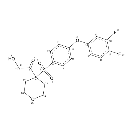 O=C(NO)C1(S(=O)(=O)c2ccc(Oc3ccc(F)c(F)c3)cc2)CCOCC1